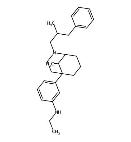 CCNc1cccc(C23CCCC(C2C)N(CC(C)Cc2ccccc2)CC3)c1